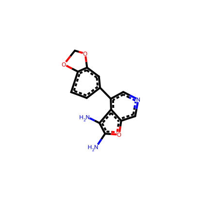 Nc1oc2cncc(-c3ccc4c(c3)OCO4)c2c1N